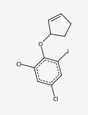 Clc1cc(Cl)c(OC2C=CCC2)c(I)c1